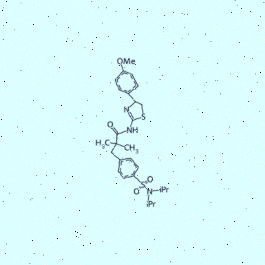 COc1ccc(C2CSC(NC(=O)C(C)(C)Cc3ccc(S(=O)(=O)N(C(C)C)C(C)C)cc3)=N2)cc1